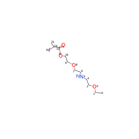 CCOCCNCCOCCOC(=O)C(C)I